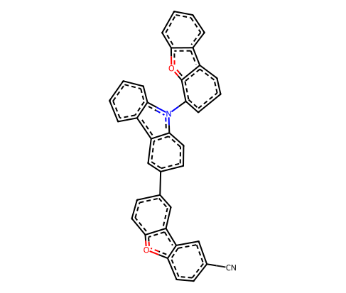 N#Cc1ccc2oc3ccc(-c4ccc5c(c4)c4ccccc4n5-c4cccc5c4oc4ccccc45)cc3c2c1